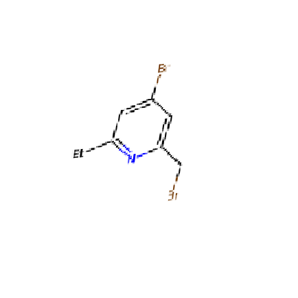 CCc1cc(Br)cc(CBr)n1